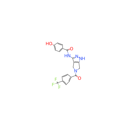 O=C(Nc1n[nH]c2c1CN(C(=O)c1ccc(C(F)(F)F)cc1)C2)c1ccc(O)cc1